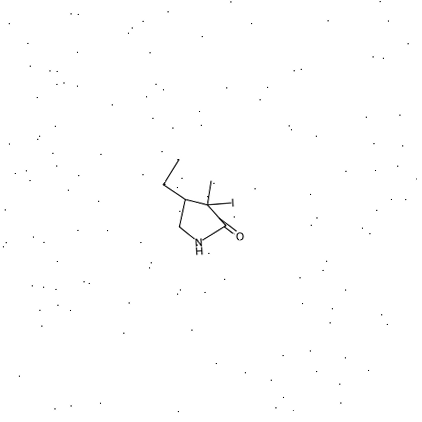 CCC1CNC(=O)C1(C)I